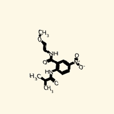 COCCNC(=O)c1cc([N+](=O)[O-])ccc1NC(=O)C(C)C